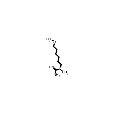 COCCCCCCN(C)C(=N)N